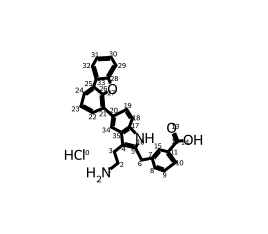 Cl.NCCc1c(Cc2cccc(C(=O)O)c2)[nH]c2ccc(-c3cccc4c3oc3ccccc34)cc12